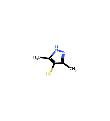 Cc1n[nH]c(C)c1S